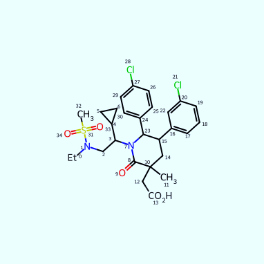 CCN(CC(C1CC1)N1C(=O)C(C)(CC(=O)O)CC(c2cccc(Cl)c2)C1c1ccc(Cl)cc1)S(C)(=O)=O